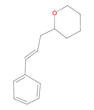 C(=Cc1ccccc1)CC1CCCCO1